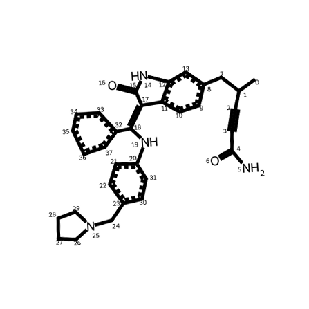 CC(C#CC(N)=O)Cc1ccc2c(c1)NC(=O)C2=C(Nc1ccc(CN2CCCC2)cc1)c1ccccc1